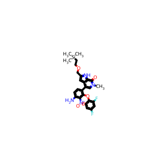 Cn1cc(-c2ccc(N)c([N+](=O)[O-])c2Oc2ccc(F)cc2F)c2cc(COCC[Si](C)(C)C)[nH]c2c1=O